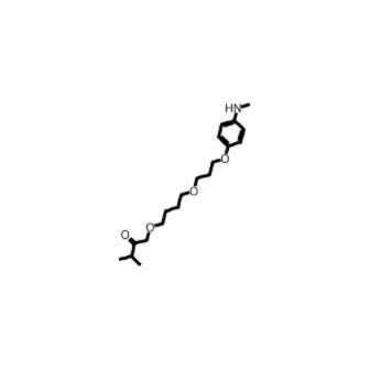 CNc1ccc(OCCCOCCCCOCC(=O)C(C)C)cc1